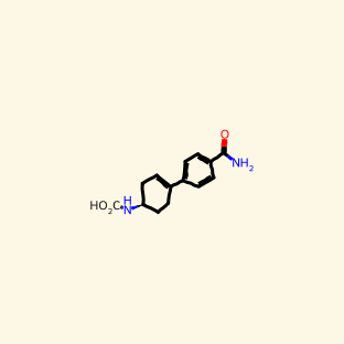 NC(=O)c1ccc(C2=CC[C@H](NC(=O)O)CC2)cc1